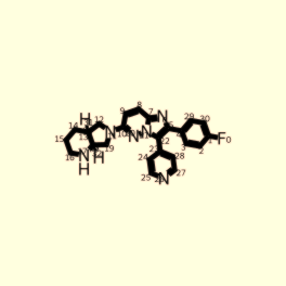 Fc1ccc(-c2nc3ccc(N4C[C@H]5CCCN[C@H]5C4)nn3c2-c2ccncc2)cc1